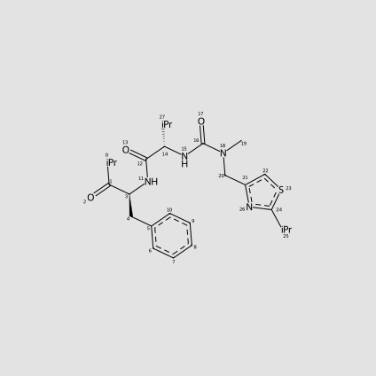 CC(C)C(=O)[C@H](Cc1ccccc1)NC(=O)[C@@H](NC(=O)N(C)Cc1csc(C(C)C)n1)C(C)C